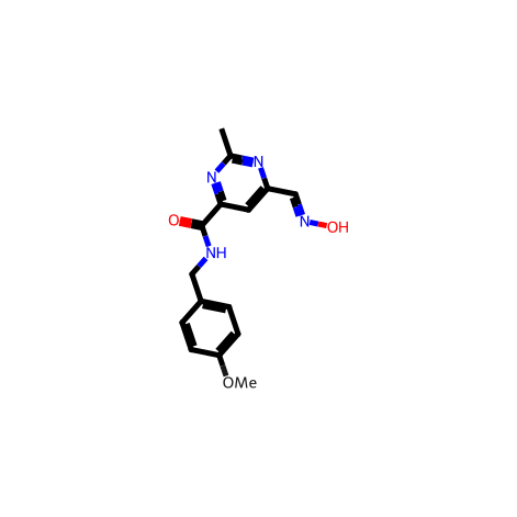 COc1ccc(CNC(=O)c2cc(C=NO)nc(C)n2)cc1